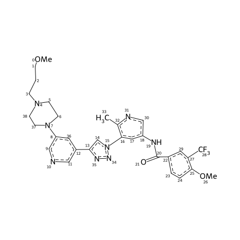 COCCCN1CCN(c2cncc(-c3cn(-c4cc(NC(=O)c5ccc(OC)c(C(F)(F)F)c5)cnc4C)nn3)c2)CC1